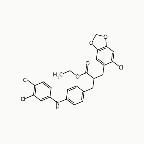 CCOC(=O)C(Cc1ccc(Nc2ccc(Cl)c(Cl)c2)cc1)Cc1cc2c(cc1Cl)OCO2